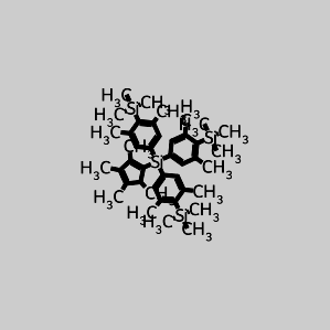 CC1=C(C)C(C)C([Si](c2cc(C)c([Si](C)(C)C)c(C)c2)(c2cc(C)c([Si](C)(C)C)c(C)c2)c2cc(C)c([Si](C)(C)C)c(C)c2)=C1C